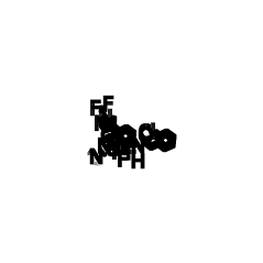 CN(C)/C=N/S(=O)(=O)c1c(-c2cnn(C(F)F)c2)ccc(NC(=O)Cc2ccccc2Cl)c1C(F)(F)F